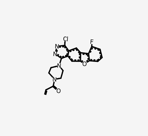 C=CC(=O)N1CCN(c2nnc(Cl)c3cc4c(cc23)oc2cccc(F)c24)CC1